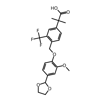 COc1cc(C2OCCO2)ccc1OCc1ccc(C(C)(C)C(=O)O)cc1C(F)(F)F